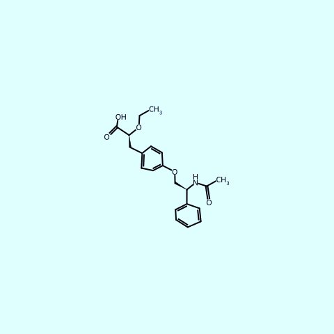 CCO[C@@H](Cc1ccc(OC[C@@H](NC(C)=O)c2ccccc2)cc1)C(=O)O